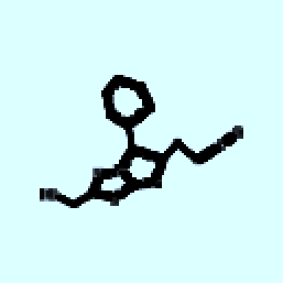 O=C=CCc1nc2sc(CO)nn2c1-c1ccccc1